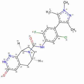 Cc1nn(C)c(C)c1-c1cc(F)c(NC(=O)N2[C@H]3CC[C@@H]2c2n[nH]c(=O)cc2C3)cc1Cl